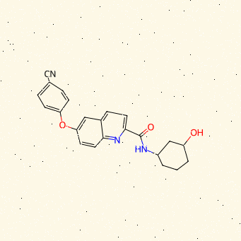 N#Cc1ccc(Oc2ccc3nc(C(=O)NC4CCCC(O)C4)ccc3c2)cc1